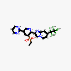 CCS(=O)(=O)c1cc(-c2ncccn2)cnc1-c1cn2ccc(C(F)(F)C(F)(F)F)cc2n1